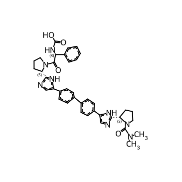 CN(C)C(=O)N1CCC[C@H]1c1ncc(-c2ccc(-c3ccc(-c4cnc([C@@H]5CCCN5C(=O)[C@H](NC(=O)O)c5ccccc5)[nH]4)cc3)cc2)[nH]1